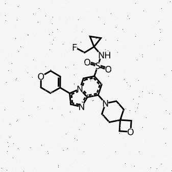 O=S(=O)(NC1(CF)CC1)c1cc(N2CCC3(CC2)COC3)c2ncc(C3=CCOCC3)n2c1